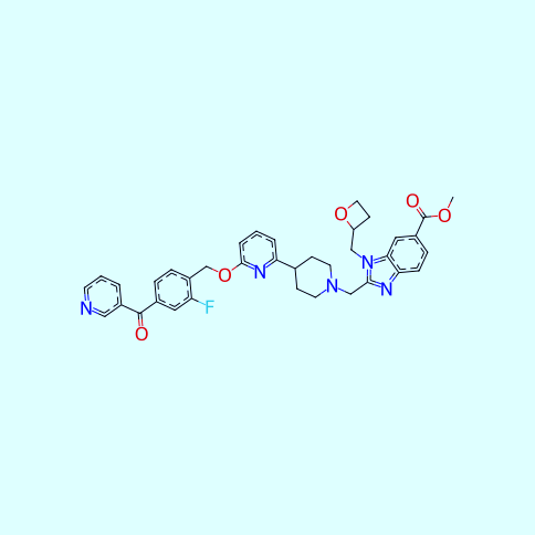 COC(=O)c1ccc2nc(CN3CCC(c4cccc(OCc5ccc(C(=O)c6cccnc6)cc5F)n4)CC3)n(CC3CCO3)c2c1